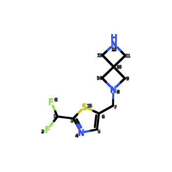 FC(F)c1ncc(CN2CC3(CNC3)C2)s1